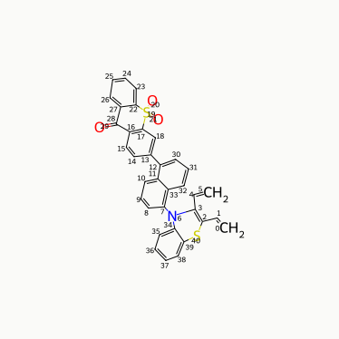 C=CC1=C(C=C)N(c2cccc3c(-c4ccc5c(c4)S(=O)(=O)c4ccccc4C5=O)cccc23)c2ccccc2S1